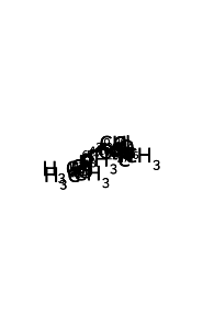 CC(CCCC1CCN(C(=O)OC(C)(C)C)CC1)Oc1ccc(C(=O)N(C)C)c(Cl)c1